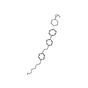 C[C@H]1CC[C@H](c2ccc(-c3ccc(CCc4ccc(CCCCCF)cc4)cc3)cc2)CC1